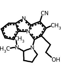 Cc1c(CCO)c(N2CCCC2N(C)C)n2c(nc3ccccc32)c1C#N